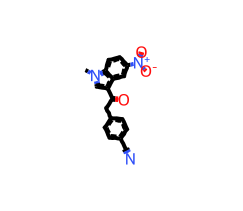 Cn1cc(C(=O)Cc2ccc(C#N)cc2)c2cc([N+](=O)[O-])ccc21